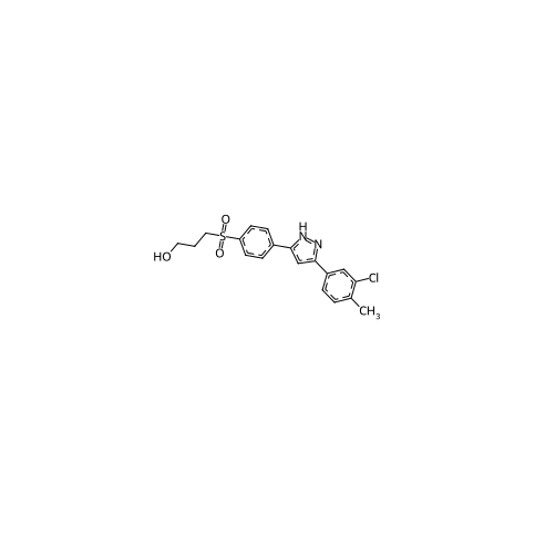 Cc1ccc(-c2cc(-c3ccc(S(=O)(=O)CCCO)cc3)[nH]n2)cc1Cl